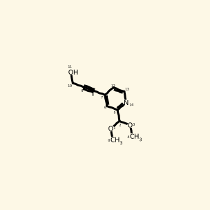 COC(OC)c1cc(C#CCO)ccn1